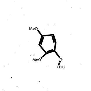 COc1ccc([N]C=O)c(OC)c1